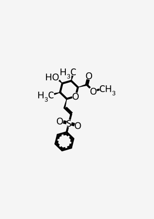 COC(=O)[C@H]1O[C@@H](/C=C/S(=O)(=O)c2ccccc2)[C@@H](C)[C@@H](O)[C@H]1C